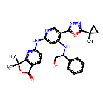 CC1(C)OC(=O)c2ccc(Nc3cc(NC(CO)c4ccccc4)c(-c4nnc(C5(C#N)CC5)o4)cn3)nc21